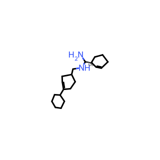 NC(NCC1CC=C(C2CCCCC2)CC1)[C@@H]1C=CCCC1